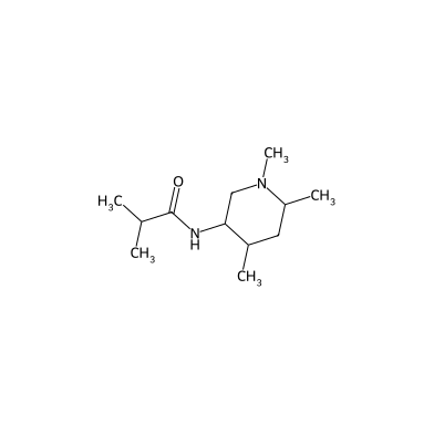 CC(C)C(=O)NC1CN(C)C(C)CC1C